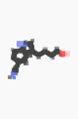 N#Cc1ccc2[nH]cc(CCCCO)c2c1